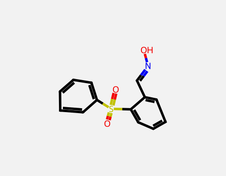 O=S(=O)(c1ccccc1)c1ccccc1C=NO